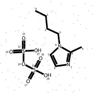 CCCCn1ccnc1C.O=S(=O)(O)OS(=O)(=O)O